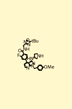 COc1ccc(Cn2nc(N[C@@H]3CCNC3)c3c(-c4ccc(C(=O)NCc5noc(C(C)(C)C)n5)c(F)c4)ccnc32)cc1